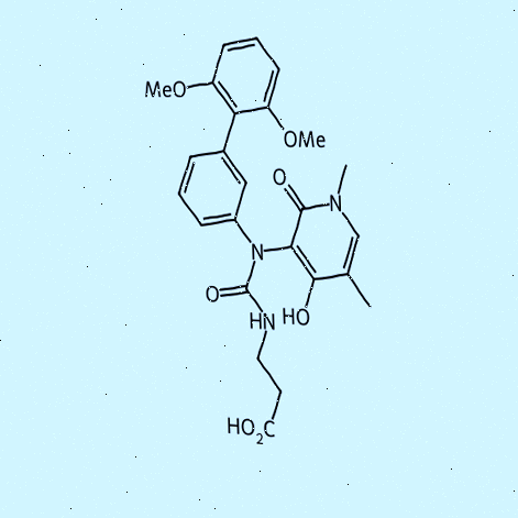 COc1cccc(OC)c1-c1cccc(N(C(=O)NCCC(=O)O)c2c(O)c(C)cn(C)c2=O)c1